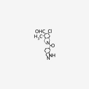 Cc1c(C=O)c(Cl)cc2c1CCN(C(=O)c1ccc3cn[nH]c3c1)C2